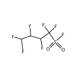 O=S(=O)(F)C(F)(F)C(F)C(F)C(F)F